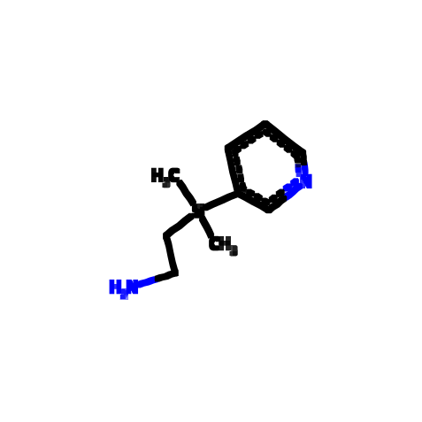 C[Si](C)(CCN)c1cccnc1